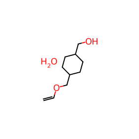 C=COCC1CCC(CO)CC1.O